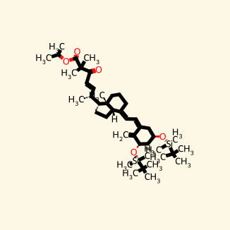 C=C1/C(=C\C=C2/CCC[C@]3(C)[C@@H]([C@H](C)/C=C/C(=O)C(C)(C)C(=O)OC(C)C)CC[C@@H]23)C[C@@H](O[Si](C)(C)C(C)(C)C)C[C@@H]1O[Si](C)(C)C(C)(C)C